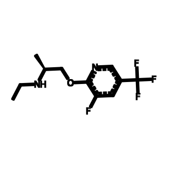 CCN[C@@H](C)COc1ncc(C(F)(F)F)cc1F